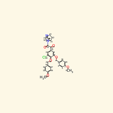 COc1ccc(COc2cc(C(=O)C(=O)N3CCN4CCC3CC4)cc(Cl)c2OCc2ccc(OC)cc2)cc1